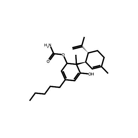 C=C(C)[C@@H]1CCC(C)=C[C@H]1C1(C)C(O)=CC(CCCCC)=CC1OC(N)=O